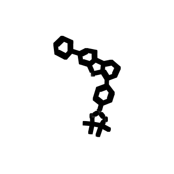 CC1(C)OB(c2ccc(-c3cccc4c3sc3cc(-c5ccccc5)ccc34)cc2)OC1(C)C